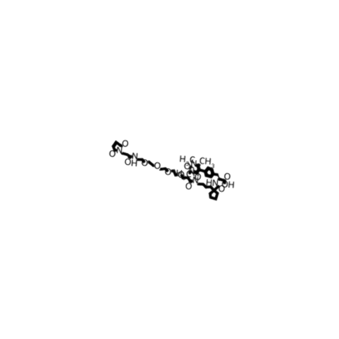 Cc1c(-c2ccc(C[C@H](NC(=O)C3(CCCCNC(=O)CCOCCOCCOCCOCCNC(=O)CCN4C(=O)C=CC4=O)CCCC3)C(=O)O)cc2)c(=O)n(C)c(=O)n1C